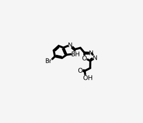 O=C(O)Cc1nnc(CC2=Nc3ccc(Br)cc3B2)o1